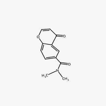 CN(C)C(=O)c1ccc2occc(=O)c2c1